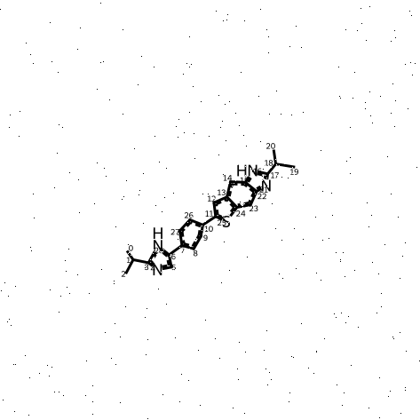 CC(C)c1ncc(-c2ccc(-c3cc4cc5[nH]c(C(C)C)nc5cc4s3)cc2)[nH]1